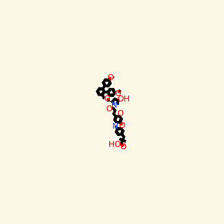 COc1ccc(-c2cccc(COC[C@@H]3C[C@@H](O)CN3C(=O)CCc3cc4nc5ccc(CC(C)(C)C(=O)O)cc5oc-4cc3=O)c2-c2ccc(OC)cc2)cc1